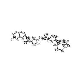 CN1CCc2ccc(NC(=O)c3cccc(CNC(=O)c4ccc(Oc5ccccc5S(C)(=O)=O)nc4)c3)cc2C1